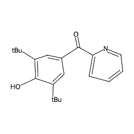 CC(C)(C)c1cc(C(=O)c2ccccn2)cc(C(C)(C)C)c1O